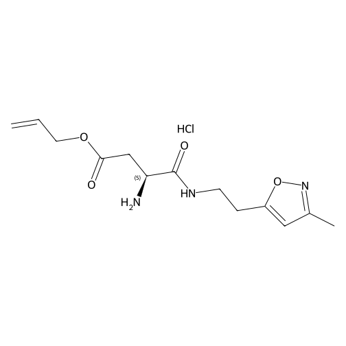 C=CCOC(=O)C[C@H](N)C(=O)NCCc1cc(C)no1.Cl